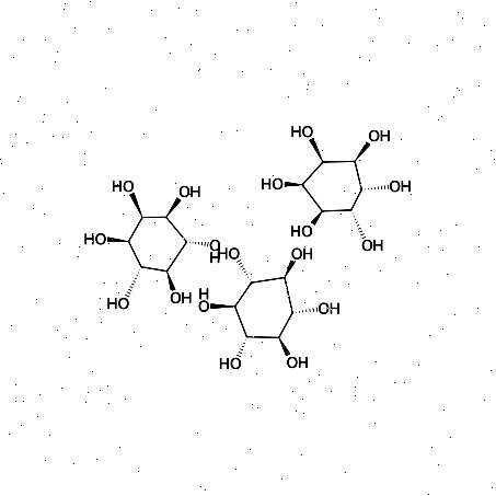 O[C@H]1[C@H](O)[C@@H](O)[C@H](O)[C@@H](O)[C@@H]1O.O[C@H]1[C@H](O)[C@@H](O)[C@H](O)[C@@H](O)[C@H]1O.O[C@H]1[C@H](O)[C@H](O)[C@@H](O)[C@@H](O)[C@H]1O